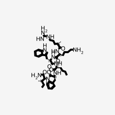 CCCC[C@H](NC(=O)[C@H](Cc1c[nH]c2ccccc12)NC(=O)[C@H](CCCCN)NC(=O)[C@@H](C)CCCNC(=N)N)C(=O)N[C@@H](Cc1ccccc1)C(=O)N[C@H](C(N)=O)[C@@H](C)CC